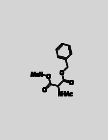 CNOC(=O)C(NC(C)=O)C(=O)OCc1ccccc1